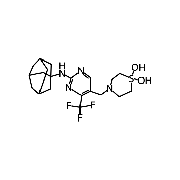 OS1(O)CCN(Cc2cnc(NC34CC5CC(CC(C5)C3)C4)nc2C(F)(F)F)CC1